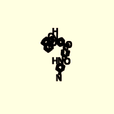 N#CC1=CCC(NC(=O)N2CCN(C(=O)c3ccc(NS(=O)(=O)c4cccc5cccnc45)cc3)CC2)C=C1